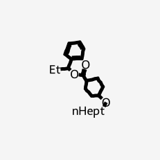 CCCCCCCOC1CCC(C(=O)OC(CC)c2ccccc2)CC1